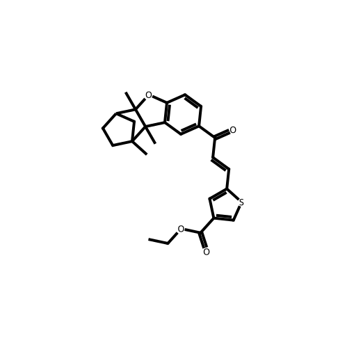 CCOC(=O)c1csc(/C=C/C(=O)c2ccc3c(c2)C2(C)C4(C)CCC(C4)C2(C)O3)c1